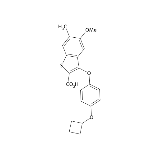 COc1cc2c(Oc3ccc(OC4CCC4)cc3)c(C(=O)O)sc2cc1C